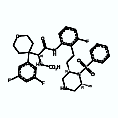 C[C@@H]1CNC[C@H](CCc2c(F)cccc2NC(=O)[C@@H](NC(=O)O)C2(c3cc(F)cc(F)c3)CCOCC2)N1S(=O)(=O)c1ccccc1